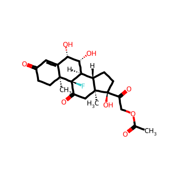 CC(=O)OCC(=O)[C@@]1(O)CC[C@H]2[C@@H]3[C@@H](O)[C@@H](O)C4=CC(=O)CC[C@]4(C)[C@@]3(F)C(=O)C[C@@]21C